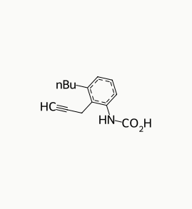 C#CCc1c(CCCC)cccc1NC(=O)O